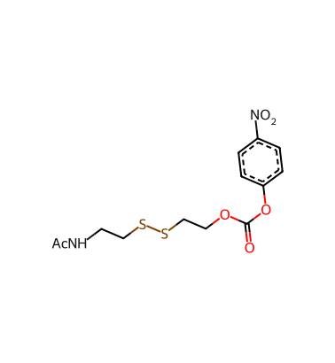 CC(=O)NCCSSCCOC(=O)Oc1ccc([N+](=O)[O-])cc1